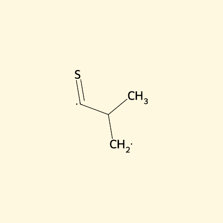 [CH2]C(C)[C]=S